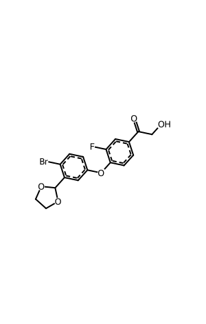 O=C(CO)c1ccc(Oc2ccc(Br)c(C3OCCO3)c2)c(F)c1